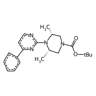 C[C@@H]1CN(C(=O)OC(C)(C)C)C[C@H](C)N1c1nccc(-c2ccccc2)n1